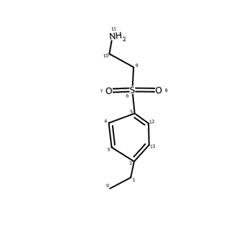 CCc1ccc(S(=O)(=O)CCN)cc1